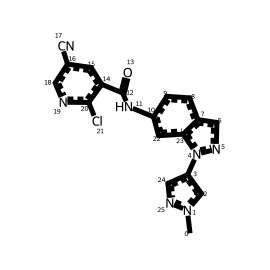 Cn1cc(-n2ncc3ccc(NC(=O)c4cc(C#N)cnc4Cl)cc32)cn1